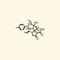 CC=C[C@@H]1CC(=O)N(C(=O)O)C1([C@@H](N[S+]([O-])c1ccc(C)cc1)[C@](C)(CCC)OC)C(C)(C)C